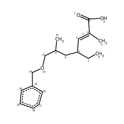 CCC(/C=C(\C)C(=O)O)CC(C)COCc1ccccc1